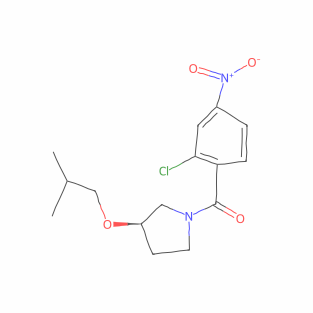 CC(C)CO[C@@H]1CCN(C(=O)c2ccc([N+](=O)[O-])cc2Cl)C1